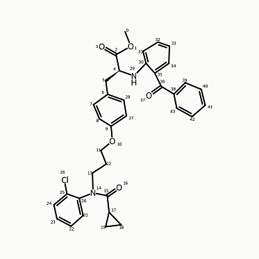 COC(=O)[C@H](Cc1ccc(OCCCN(C(=O)C2CC2)c2ccccc2Cl)cc1)Nc1ccccc1C(=O)c1ccccc1